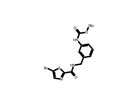 CC(C)(C)OC(=O)Nc1cccc(CNC(=O)c2ncc(Br)s2)c1